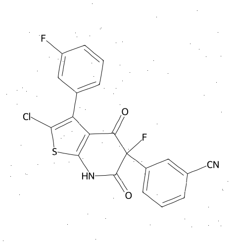 N#Cc1cccc(C2(F)C(=O)Nc3sc(Cl)c(-c4cccc(F)c4)c3C2=O)c1